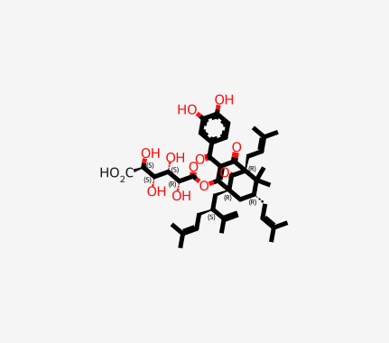 C=C(C)[C@@H](CC=C(C)C)C[C@@]12C[C@@H](CC=C(C)C)C(C)(C)[C@@](CC=C(C)C)(C(=O)C(C(=O)c3ccc(O)c(O)c3)=C1OC(=O)[C@H](O)[C@@H](O)[C@H](O)[C@H](O)C(=O)O)C2=O